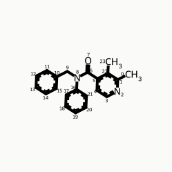 Cc1nccc(C(=O)N(Cc2ccccc2)c2ccccc2)c1C